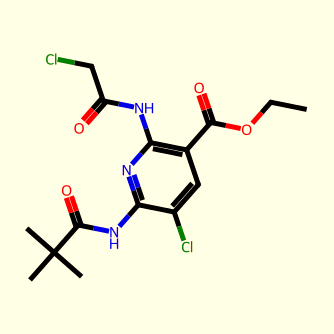 CCOC(=O)c1cc(Cl)c(NC(=O)C(C)(C)C)nc1NC(=O)CCl